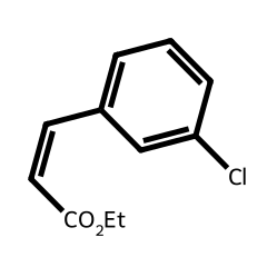 CCOC(=O)/C=C\c1cccc(Cl)c1